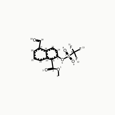 COC(=O)c1c(OS(=O)(=O)C(F)(F)F)ccc2c(C=O)cccc12